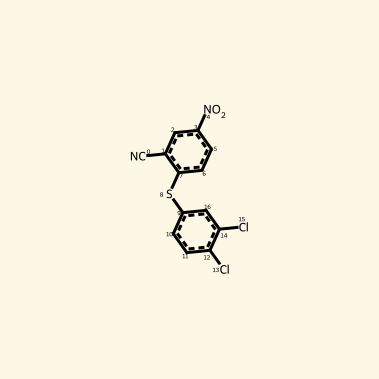 N#Cc1cc([N+](=O)[O-])ccc1Sc1ccc(Cl)c(Cl)c1